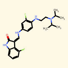 CC(C)N(CCNc1ccc(NC=C2C(=O)Nc3cccc(F)c32)cc1F)C(C)C